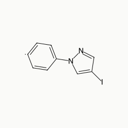 Ic1cnn(-c2cc[c]cc2)c1